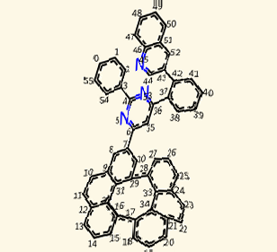 c1ccc(-c2nc(-c3cc4ccc5cccc6c7cccc8ccc9cccc(c(c3)c4c56)c9c87)cc(-c3ccccc3-c3cnc4ccccc4c3)n2)cc1